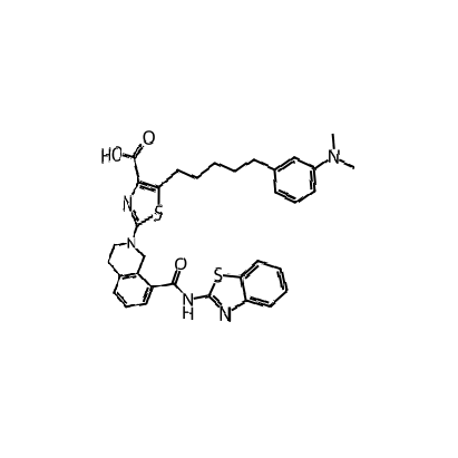 CN(C)c1cccc(CCCCCc2sc(N3CCc4cccc(C(=O)Nc5nc6ccccc6s5)c4C3)nc2C(=O)O)c1